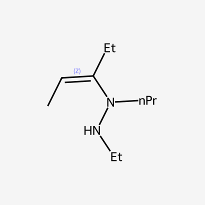 C/C=C(/CC)N(CCC)NCC